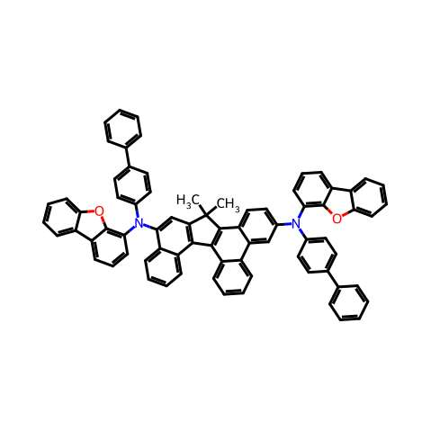 CC1(C)c2cc(N(c3ccc(-c4ccccc4)cc3)c3cccc4c3oc3ccccc34)c3ccccc3c2-c2c1c1ccc(N(c3ccc(-c4ccccc4)cc3)c3cccc4c3oc3ccccc34)cc1c1ccccc21